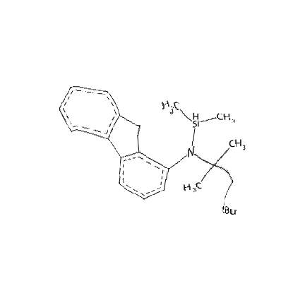 C[SiH](C)N(c1cccc2c1Cc1ccccc1-2)C(C)(C)CC(C)(C)C